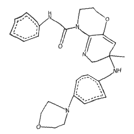 CC1(Nc2ccc(N3CCOCC3)cc2)C=C2OCCN(C(=O)Nc3ccccc3)C2=NC1